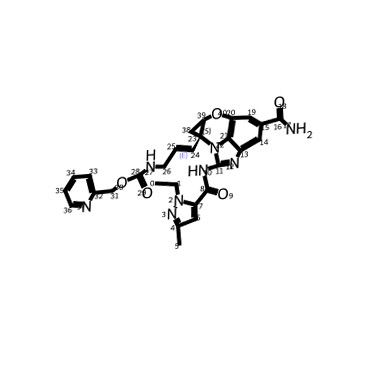 CCn1nc(C)cc1C(=O)Nc1nc2cc(C(N)=O)cc3c2n1[C@]1(/C=C/CNC(=O)OCc2ccccn2)CC1O3